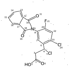 O=C(O)CC(Cl)c1cc(N2C(=O)c3ccccc3C2=O)c(F)cc1Cl